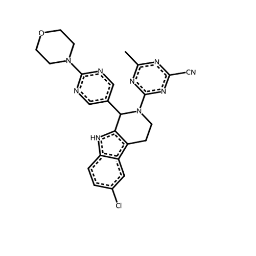 Cc1nc(C#N)nc(N2CCc3c([nH]c4ccc(Cl)cc34)C2c2cnc(N3CCOCC3)nc2)n1